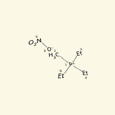 CC[P+](C)(CC)CC.O=[N+]([O-])[O-]